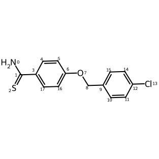 NC(=S)c1ccc(OCc2ccc(Cl)cc2)cc1